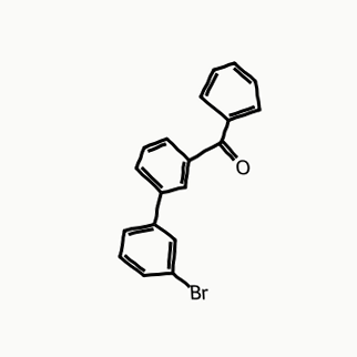 O=C(c1ccccc1)c1cccc(-c2cccc(Br)c2)c1